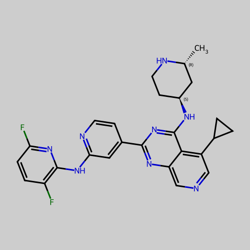 C[C@@H]1C[C@@H](Nc2nc(-c3ccnc(Nc4nc(F)ccc4F)c3)nc3cncc(C4CC4)c23)CCN1